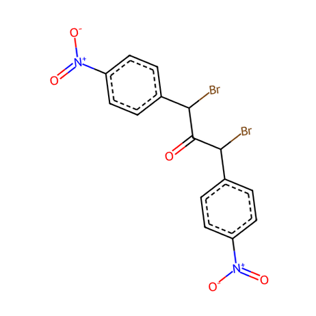 O=C(C(Br)c1ccc([N+](=O)[O-])cc1)C(Br)c1ccc([N+](=O)[O-])cc1